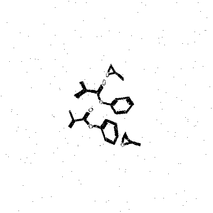 C=C(C)C(=O)Oc1ccccc1.C=C(C)C(=O)Oc1ccccc1.CC1CO1.CC1CO1